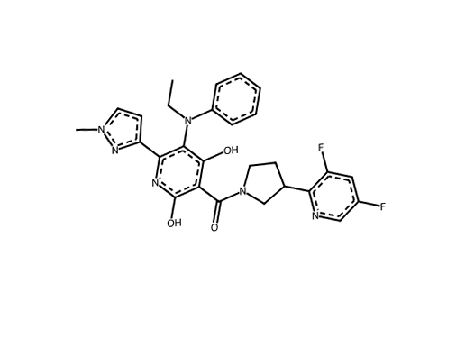 CCN(c1ccccc1)c1c(-c2ccn(C)n2)nc(O)c(C(=O)N2CCC(c3ncc(F)cc3F)C2)c1O